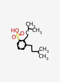 CC(C)CCc1cccc(S(=O)(=O)O)c1CCC(C)C